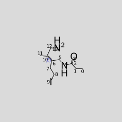 CCC(=O)NC/C(CCI)=C(/C)CN